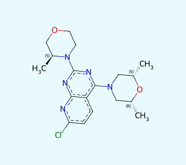 C[C@@H]1CN(c2nc(N3CCOC[C@@H]3C)nc3nc(Cl)ccc23)C[C@H](C)O1